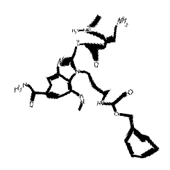 COc1cc(C(N)=O)cc2nc(NC(=O)/C(=C/N)N(C)N)n(CCCNC(=O)OCc3ccccc3)c12